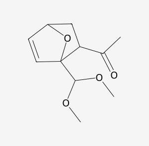 COC(OC)C12C=CC(CC1C(C)=O)O2